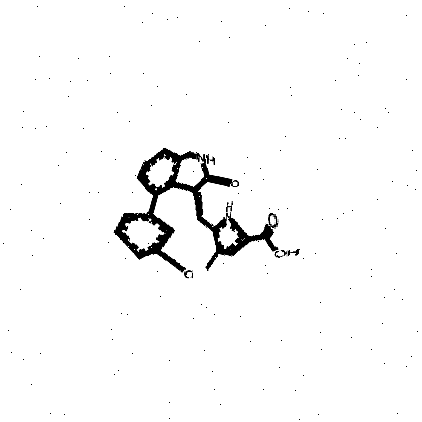 Cc1cc(C(=O)O)[nH]c1C=C1C(=O)Nc2cccc(-c3cccc(Cl)c3)c21